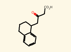 O=C(O)CC(=O)CC1CCCc2ccccc21